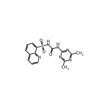 Cc1nc(C)nc(NC(=O)NS(=O)(=O)c2cccc3cccnc23)n1